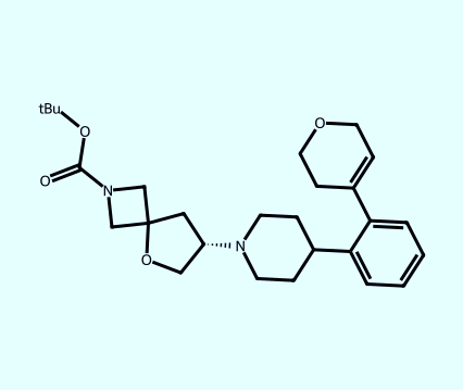 CC(C)(C)OC(=O)N1CC2(C[C@H](N3CCC(c4ccccc4C4=CCOCC4)CC3)CO2)C1